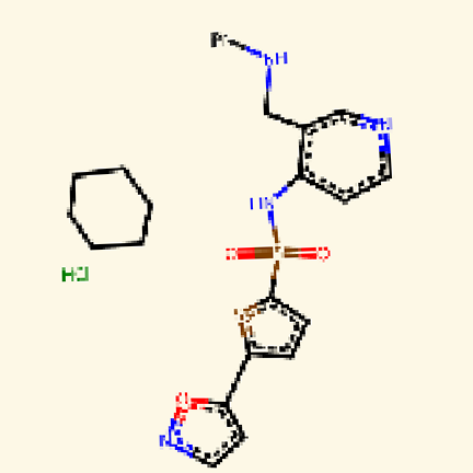 C1CCCCC1.CC(C)NCc1cnccc1NS(=O)(=O)c1ccc(-c2ccno2)s1.Cl